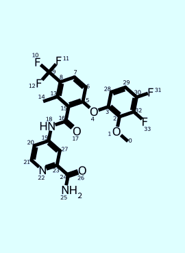 COc1c(Oc2ccc(C(F)(F)F)c(C)c2C(=O)Nc2ccnc(C(N)=O)c2)ccc(F)c1F